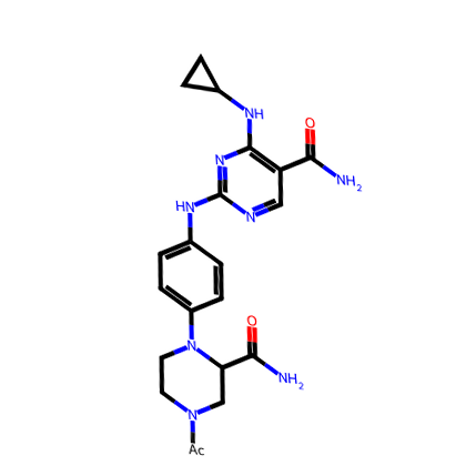 CC(=O)N1CCN(c2ccc(Nc3ncc(C(N)=O)c(NC4CC4)n3)cc2)C(C(N)=O)C1